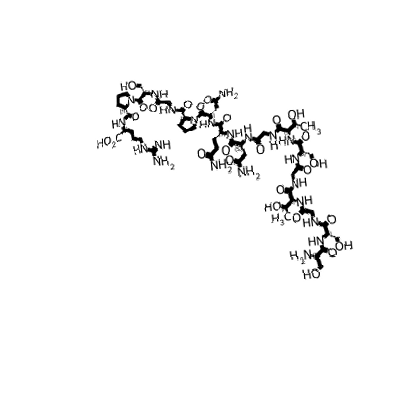 C[C@@H](O)[C@H](NC(=O)CNC(=O)[C@H](CO)NC(=O)[C@@H](N)CO)C(=O)NCC(=O)N[C@@H](CO)C(=O)N[C@H](C(=O)NCC(=O)N[C@@H](CC(N)=O)C(=O)N[C@@H](CCC(N)=O)C(=O)N[C@@H](CC(N)=O)C(=O)N1CCC[C@H]1C(=O)NCC(=O)N[C@@H](CO)C(=O)N1CCC[C@H]1C(=O)N[C@@H](CCCNC(=N)N)C(=O)O)[C@@H](C)O